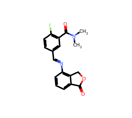 CN(C)C(=O)c1cc(/C=N/c2cccc3c2COC3=O)ccc1F